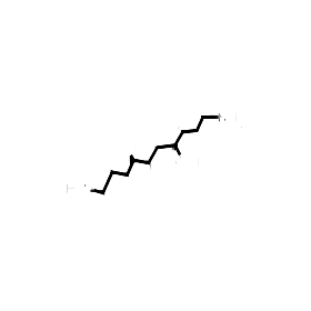 NCCCC(O)CCC(O)CCCN